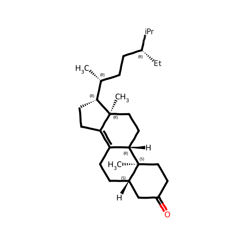 CC[C@H](CC[C@@H](C)[C@H]1CCC2=C3CC[C@H]4CC(=O)CC[C@]4(C)[C@H]3CC[C@@]21C)C(C)C